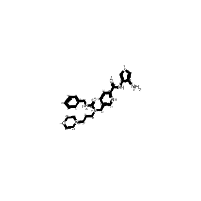 Nc1cscc1NC(=O)c1ccc(CN(CCCN2CCOCC2)C(=O)NCc2ccccc2)cn1